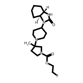 CC1(N2CCC(N3C(=O)N[C@H]4CCCC[C@@H]43)CC2)CCN(C(=O)OCCF)C1